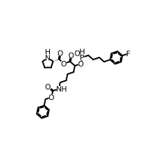 O=C(NCCCCC(O[PH](=O)CCCCc1ccc(F)cc1)C(=O)OC(=O)[C@@H]1CCCN1)OCc1ccccc1